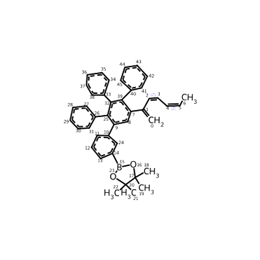 C=C(/C=C\C=C/C)c1cc(-c2cccc(B3OC(C)(C)C(C)(C)O3)c2)c(-c2ccccc2)c(-c2ccccc2)c1-c1ccccc1